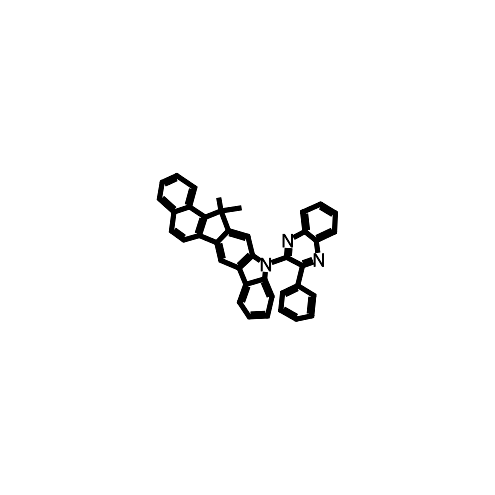 CC1(C)c2cc3c(cc2-c2ccc4ccccc4c21)c1ccccc1n3-c1nc2ccccc2nc1-c1ccccc1